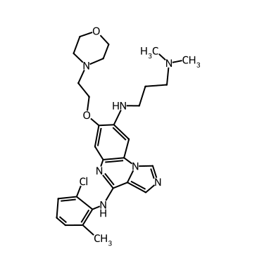 Cc1cccc(Cl)c1Nc1nc2cc(OCCN3CCOCC3)c(NCCCN(C)C)cc2n2cncc12